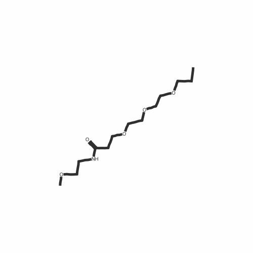 CCCOCCOCCOCCC(=O)NCCOC